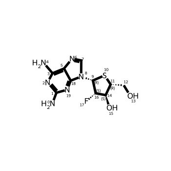 Nc1nc(N)c2ncn([C@@H]3S[C@H](CO)[C@@H](O)[C@@H]3F)c2n1